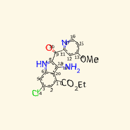 CCOC(=O)c1cc(Cl)cc2[nH]c(C(=O)c3cc(OC)ccn3)c(N)c12